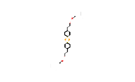 C=CC(=O)OCCCc1ccc(S(=O)(=O)c2ccc(CCCOC(=O)C=C)cc2)cc1